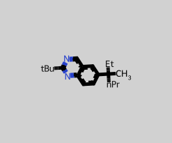 CCCC(C)(CC)c1ccc2nc(C(C)(C)C)ncc2c1